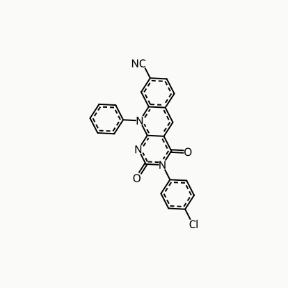 N#Cc1ccc2cc3c(=O)n(-c4ccc(Cl)cc4)c(=O)nc-3n(-c3ccccc3)c2c1